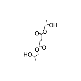 CC(O)COC(=O)C=CC(=O)OCC(C)O